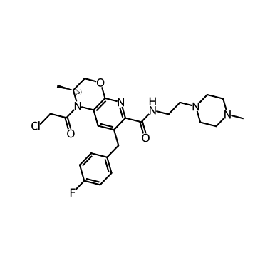 C[C@H]1COc2nc(C(=O)NCCN3CCN(C)CC3)c(Cc3ccc(F)cc3)cc2N1C(=O)CCl